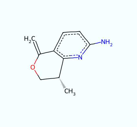 C=C1OC[C@@H](C)c2nc(N)ccc21